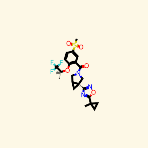 C[C@@H](Oc1ccc(S(C)(=O)=O)cc1C(=O)N1CC2C[C@]2(c2noc(C3(C)CC3)n2)C1)C(F)(F)F